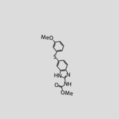 COC(=O)Nc1nc2ccc(Sc3cccc(OC)c3)cc2[nH]1